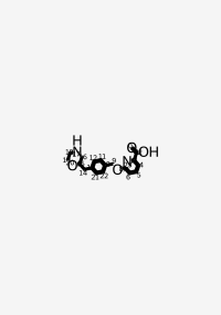 O=C(O)c1cccc(OCc2ccc(CC3CNCCO3)cc2)n1